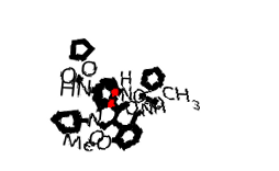 COc1cccc(C(=O)NS(=O)(=O)c2ccccc2C)c1C(C(=O)N(c1ccccc1)c1ccccc1)c1c[nH]c2ccc(NC(=O)OC3CCCC3)cc12